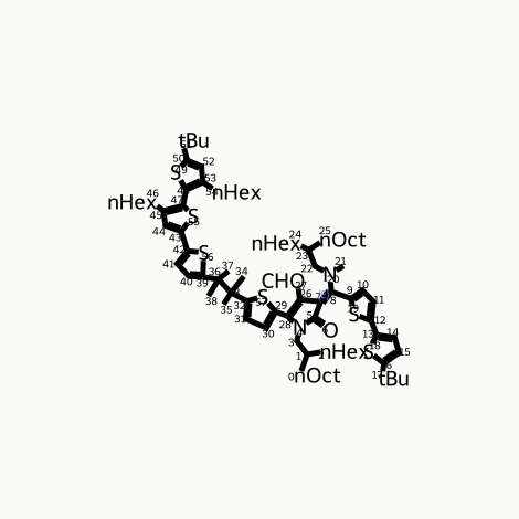 CCCCCCCCC(CCCCCC)CN1C(=O)/C(=C(\c2ccc(-c3ccc(C(C)(C)C)s3)s2)N(C)CC(CCCCCC)CCCCCCCC)C(C=O)=C1c1ccc(C(C)(C)C(C)(C)c2ccc(-c3cc(CCCCCC)c(-c4sc(C(C)(C)C)cc4CCCCCC)s3)s2)s1